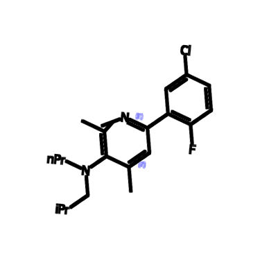 CCCN(CC(C)C)C(=C(C)C)/C(C)=C\C(=N/C)c1cc(Cl)ccc1F